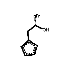 CCC[C@H](O)Cc1cccs1